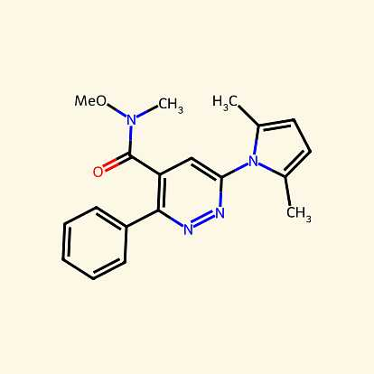 CON(C)C(=O)c1cc(-n2c(C)ccc2C)nnc1-c1ccccc1